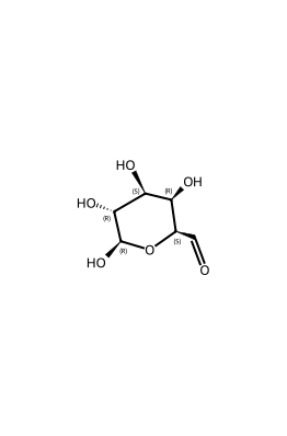 O=C[C@H]1O[C@@H](O)[C@H](O)[C@@H](O)[C@H]1O